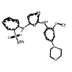 CCOc1cc(N2CCOCC2)ccc1Nc1nccc(Nc2ccccc2S(=O)(=O)NC)n1